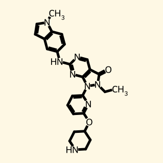 CCn1c(=O)c2cnc(Nc3ccc4c(ccn4C)c3)nc2n1-c1cccc(OC2CCNCC2)n1